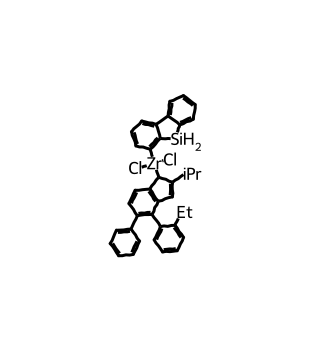 CCc1ccccc1-c1c(-c2ccccc2)ccc2c1C=C(C(C)C)[CH]2[Zr]([Cl])([Cl])[c]1cccc2c1[SiH2]c1ccccc1-2